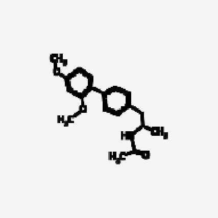 COc1ccc(-c2ccc(CC(C)NC(C)=O)cc2)c(OC)c1